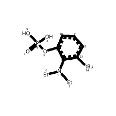 CCN(CC)c1c(OP(=O)(O)O)cccc1C(C)(C)C